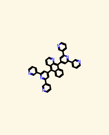 c1cncc(-c2cc(-c3c4ccccc4c(-c4cc(-c5cccnc5)nc(-c5cccnc5)c4)c4ncccc34)cc(-c3cccnc3)n2)c1